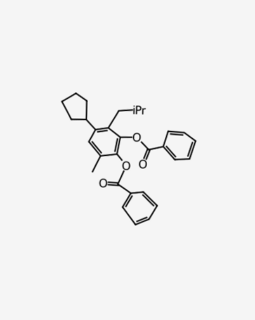 Cc1cc(C2CCCC2)c(CC(C)C)c(OC(=O)c2ccccc2)c1OC(=O)c1ccccc1